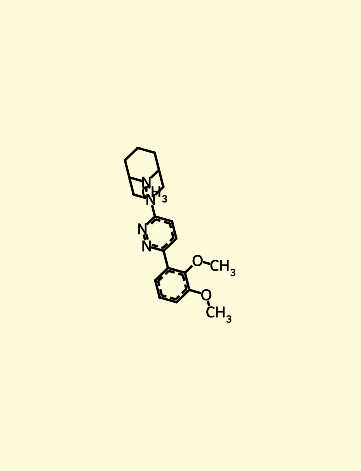 COc1cccc(-c2ccc(N3CC4CCCC(C3)N4C)nn2)c1OC